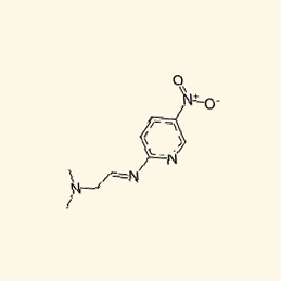 CN(C)CC=Nc1ccc([N+](=O)[O-])cn1